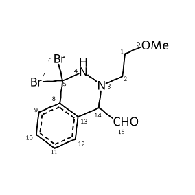 COCCN1NC(Br)(Br)c2ccccc2C1C=O